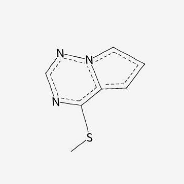 CSc1ncnn2cccc12